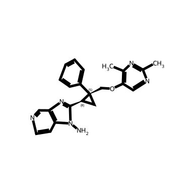 Cc1ncc(OC[C@@]2(c3ccccc3)C[C@H]2c2nc3cnccc3n2N)c(C)n1